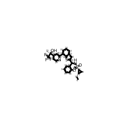 CC[C@H]1C[C@@H]1S(=O)(=O)NC(c1cc2cccc(-c3cc([C@](C)(O)C(F)(F)F)ccn3)c2s1)c1ccccc1Cl